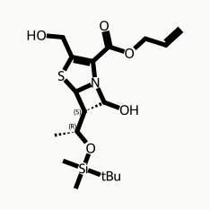 C=CCOC(=O)C1=C(CO)SC2[C@@H]([C@@H](C)O[Si](C)(C)C(C)(C)C)C(O)N12